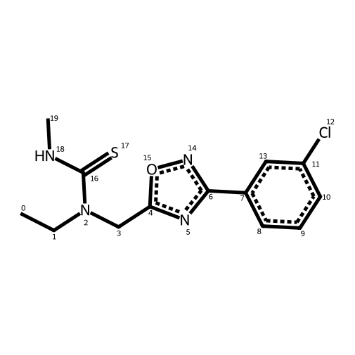 CCN(Cc1nc(-c2cccc(Cl)c2)no1)C(=S)NC